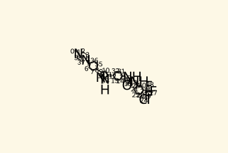 CN1CCN(c2ccc(-c3cc(-c4ccc(NC(=O)Nc5ccc(Cl)c(C(F)(F)F)c5)cc4)[nH]n3)cc2)CC1